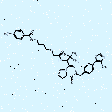 Cc1ncsc1-c1ccc(CNC(=O)[C@@H]2CCCN2C(=O)[C@@H](NC(=O)COCCCCNC(=O)c2ccc(N)cc2)C(C)(C)C)cc1